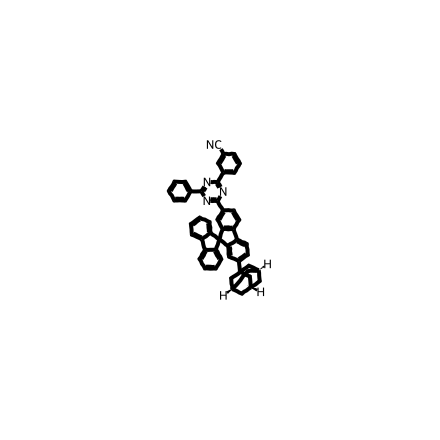 N#Cc1cccc(-c2nc(-c3ccccc3)nc(-c3ccc4c(c3)C3(c5ccccc5-c5ccccc53)c3cc(C56C[C@H]7C[C@H](C5)C[C@@H](C6)C7)ccc3-4)n2)c1